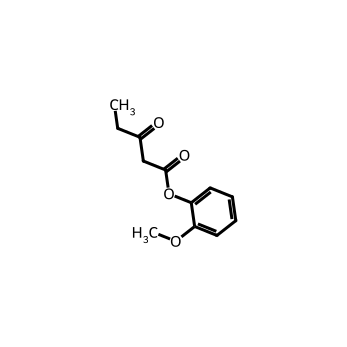 CCC(=O)CC(=O)Oc1ccccc1OC